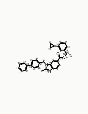 Cc1nc2ccc(C(=O)N[C@@H](C)c3cccc(C4CC4)c3)cc2n1Cc1ccc(-c2ccccc2)cc1